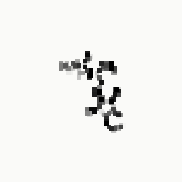 NC(=O)NC(N)CON1C(=O)c2ccccc2C1=O